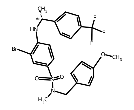 COc1ccc(CN(C)S(=O)(=O)c2ccc(N[C@H](C)c3ccc(C(F)(F)F)cc3)c(Br)c2)cc1